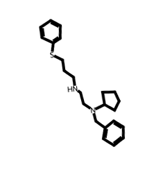 c1ccc(CN(CCNCCCSc2ccccc2)C2CCCC2)cc1